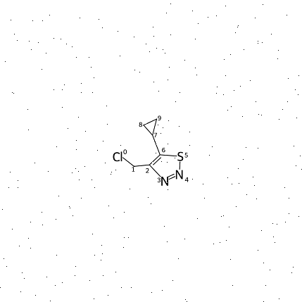 ClCc1nnsc1C1CC1